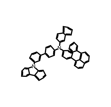 c1ccc(-c2cccc3cccc(-c4ccc(N(c5ccc(-c6cccc(-n7c8ccccc8c8ccccc87)c6)cc5)c5ccc6ccccc6c5)cc4)c23)cc1